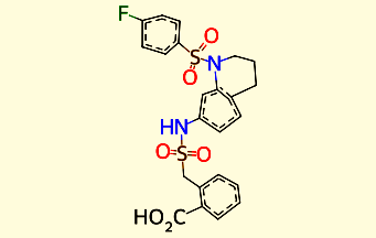 O=C(O)c1ccccc1CS(=O)(=O)Nc1ccc2c(c1)N(S(=O)(=O)c1ccc(F)cc1)CCC2